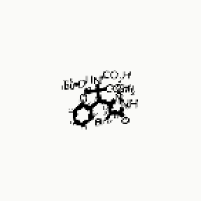 CCC(C)OC(=O)C(NC(=O)O)(C(=O)O)C(c1ccccc1)c1c(Br)c(=O)[nH]n1C